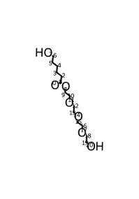 O=C(CCCCCO)OCCOCCOCCOCCO